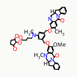 COc1cc2c(cc1OCc1cc(COc3cc4c(cc3C)C(=O)N3c5ccccc5C[C@H]3C=N4)cc(N(C)CCCC(=O)OC3C(=O)CCC3=O)c1)N(C)C[C@@H]1Cc3ccccc3N1C2=O